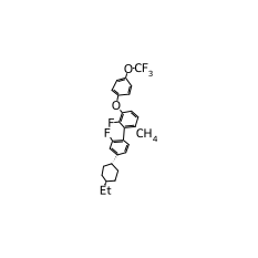 C.CC[C@H]1CC[C@H](c2ccc(-c3cccc(Oc4ccc(OC(F)(F)F)cc4)c3F)c(F)c2)CC1